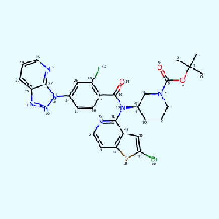 CC(C)(C)OC(=O)N1CCC[C@@H](N(C(=O)c2ccc(-n3nnc4cccnc43)cc2F)c2nccc3sc(Br)cc23)C1